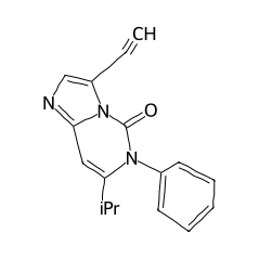 C#Cc1cnc2cc(C(C)C)n(-c3ccccc3)c(=O)n12